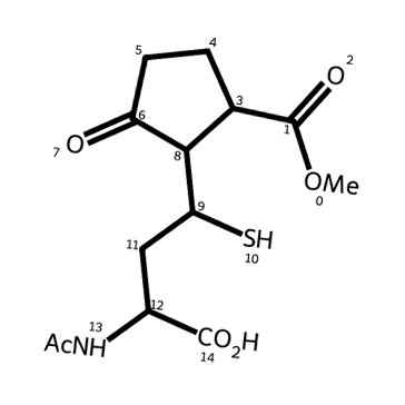 COC(=O)C1CCC(=O)C1C(S)CC(NC(C)=O)C(=O)O